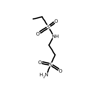 CCS(=O)(=O)NCCS(N)(=O)=O